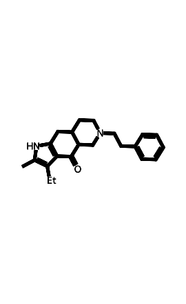 CCc1c(C)[nH]c2c1C(=O)C1CN(CCc3ccccc3)CCC1C2